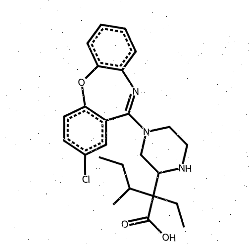 CCC(C)C(CC)(C(=O)O)C1CN(C2=Nc3ccccc3Oc3ccc(Cl)cc32)CCN1